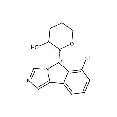 OC1CCCOC1[C@@H]1c2c(Cl)cccc2-c2cncn21